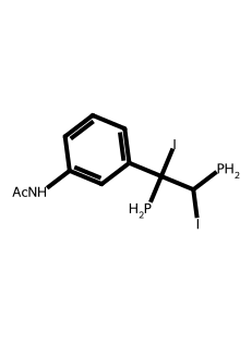 CC(=O)Nc1cccc(C(P)(I)C(P)I)c1